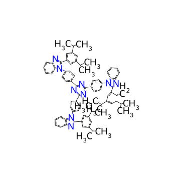 C=C/C(=C\C(=C/CC(C)C)C(C)C)c1nc2ccccc2n1-c1ccc(-c2nc(-c3ccc(-n4c(-c5cc(C(C)C)cc(C(C)C)c5)nc5ccccc54)cc3)nc(-c3ccc(-n4c(-c5cc(C(C)C)cc(C(C)C)c5)nc5ccccc54)cc3)n2)cc1